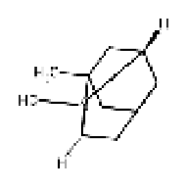 CC12CC3C[C@H](C[C@@H](C3)N1O)C2